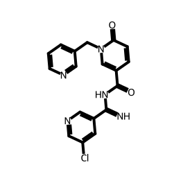 N=C(NC(=O)c1ccc(=O)n(Cc2cccnc2)c1)c1cncc(Cl)c1